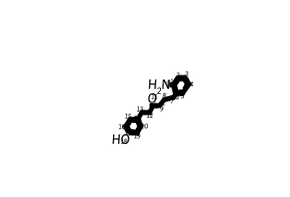 Nc1ccccc1CC[CH]C(=O)CCc1ccc(O)cc1